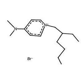 CCCCC(CC)C[n+]1ccc(N(C)C)cc1.[Br-]